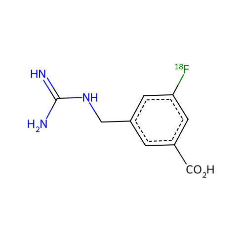 N=C(N)NCc1cc([18F])cc(C(=O)O)c1